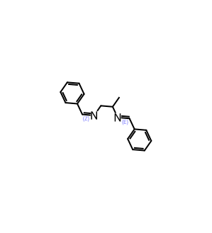 CC(C/N=C\c1ccccc1)/N=C/c1ccccc1